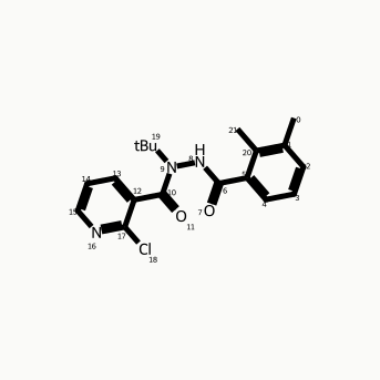 Cc1cccc(C(=O)NN(C(=O)c2cccnc2Cl)C(C)(C)C)c1C